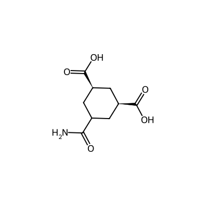 NC(=O)C1C[C@@H](C(=O)O)C[C@@H](C(=O)O)C1